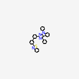 c1ccc(-c2nc(-c3cccc(-c4cccc(-c5nc6ccccc6s5)c4)c3)nc3c2c2ccccc2n3-c2ccccc2)cc1